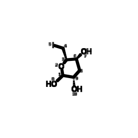 OC1O[C@@H](CI)[C@@H](O)C[C@@H]1O